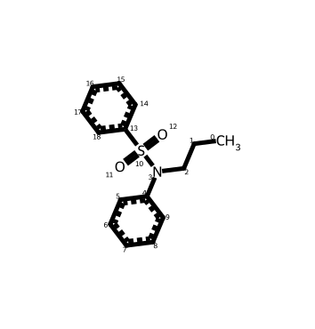 CCCN(c1ccccc1)S(=O)(=O)c1ccccc1